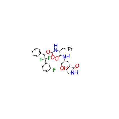 CC(C)C[C@H](NC(=O)O[C@@H](c1ccccc1)C(F)(F)c1cccc(F)c1)C(=O)N[C@H](CO)C[C@@H]1CCNC1=O